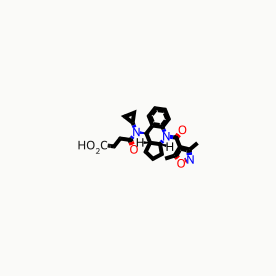 Cc1noc(C)c1C(=O)N1c2ccccc2[C@H](N(C(=O)CCC(=O)O)C2CC2)[C@H]2CCC[C@H]21